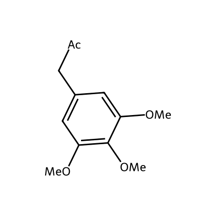 COc1cc(CC(C)=O)cc(OC)c1OC